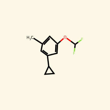 Cc1cc(OC(F)F)cc(C2CC2)c1